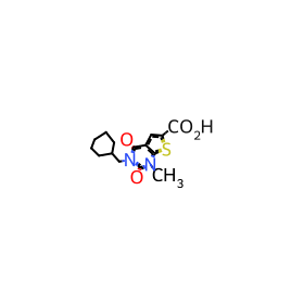 Cn1c(=O)n(CC2CCCCC2)c(=O)c2cc(C(=O)O)sc21